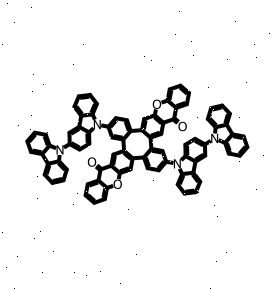 O=c1c2ccccc2oc2cc3c(cc12)-c1cc(-n2c4ccccc4c4cc(-n5c6ccccc6c6ccccc65)ccc42)ccc1-c1cc2oc4ccccc4c(=O)c2cc1-c1cc(-n2c4ccccc4c4cc(-n5c6ccccc6c6ccccc65)ccc42)ccc1-3